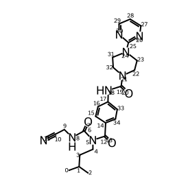 CC(C)CCN(C(=O)NCC#N)C(=O)c1ccc(NC(=O)N2CCN(c3ncccn3)CC2)cc1